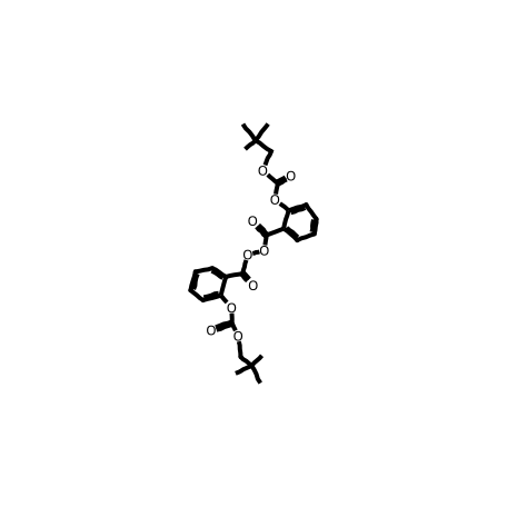 CC(C)(C)COC(=O)Oc1ccccc1C(=O)OOC(=O)c1ccccc1OC(=O)OCC(C)(C)C